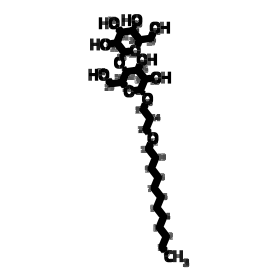 CCCCCCCCCCCCOCCCO[C@H]1OC(CO)[C@@H](O[C@@H]2OC(CO)[C@H](O)C(O)C2O)C(O)C1O